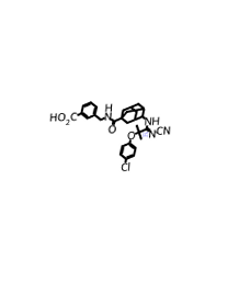 CC(C)(Oc1ccc(Cl)cc1)/C(=N/C#N)NC1C2CC3CC1CC(C(=O)NCc1cccc(C(=O)O)c1)(C3)C2